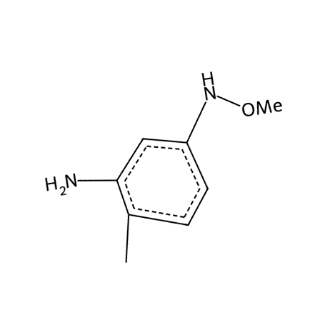 CONc1ccc(C)c(N)c1